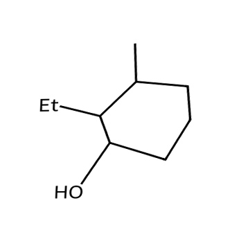 CCC1C(C)CCCC1O